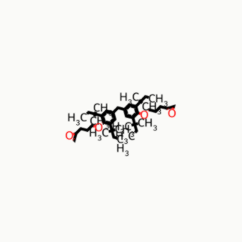 CCC(C)(C)c1cc(Cc2cc(C(C)(C)CC)c(OCCCC3CO3)c(C(C)(C)CC)c2)cc(C(C)(C)CC)c1OCCCC1CO1